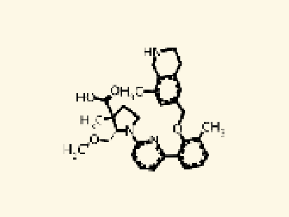 COC[C@H]1N(c2cccc(-c3cccc(C)c3OCc3cc(C)c4c(c3)CCNC4)n2)CC[C@@]1(C)C(=O)O